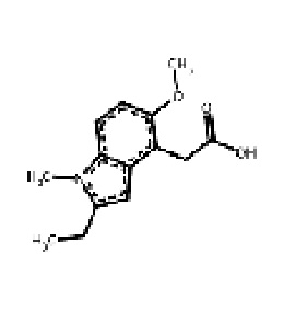 CCc1cc2c(CC(=O)O)c(OC)ccc2n1C